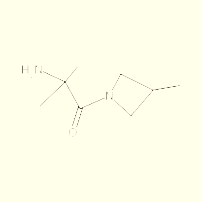 CC1CN(C(=O)C(C)(C)N)C1